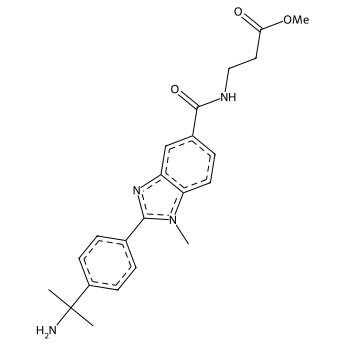 COC(=O)CCNC(=O)c1ccc2c(c1)nc(-c1ccc(C(C)(C)N)cc1)n2C